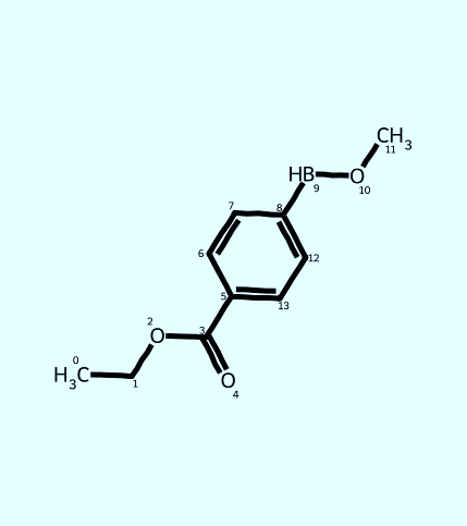 CCOC(=O)c1ccc(BOC)cc1